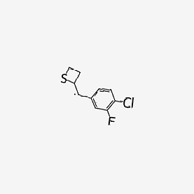 Fc1cc([CH]C2CCS2)ccc1Cl